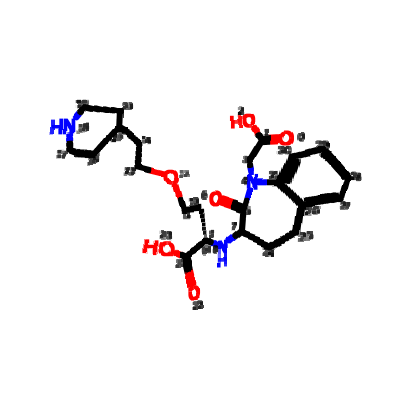 O=C(O)CN1C(=O)C(N[C@@H](CCOCCC2CCNCC2)C(=O)O)CCc2ccccc21